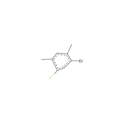 CCc1cc(F)c(C)cc1C